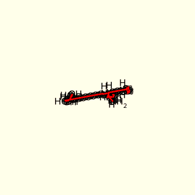 CC(C)[C@H](NC(=O)[C@H](CCCCNC(=O)CCOCCOCCOCCOCCOCCOCCOCCOCCOCCOCCOCCOCCN(C[C@H](O)[C@@H](O)[C@H](O)[C@H](O)CO)C[C@H](O)[C@@H](O)[C@H](O)[C@H](O)CO)NC(=O)CCOCCOCCOCCOCCNC(=O)CCC(=O)N1Cc2ccccc2C#Cc2ccccc21)C(=O)N[C@@H](CCCNC(N)=O)C(=O)Nc1ccc(CO)cc1